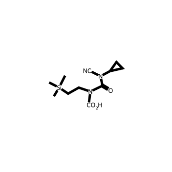 C[Si](C)(C)CCN(C(=O)O)C(=O)N(C#N)C1CC1